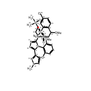 COc1cccc(OC)c1-n1c(-c2ccn(C)n2)nnc1N(CC[Si](C)(C)C)S(=O)(=O)CC(OC)c1ccc(Cl)cc1S(C)(=O)=O